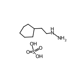 NNCCC1CCCCC1.O=S(=O)(O)O